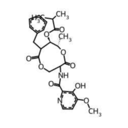 COc1ccnc(C(=O)NC2COC(=O)C(Cc3ccccc3)[C@@H](OC(=O)C(C)C)[C@H](C)OC2=O)c1O